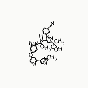 Cn1cc(-c2cc(Oc3ccc(NC(=O)Nc4cc(C(C)(C)CO)nn4-c4cccc(C#N)c4)c(F)c3)ccn2)cn1